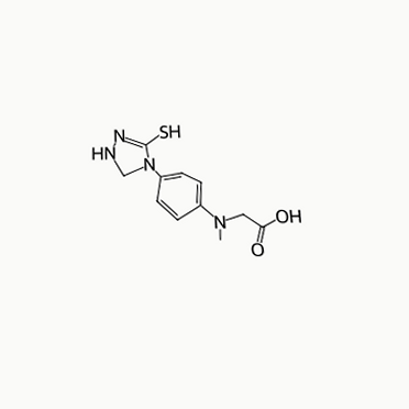 CN(CC(=O)O)c1ccc(N2CNN=C2S)cc1